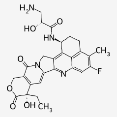 CC[C@@]1(O)C(=O)OCc2c1cc1n(c2=O)Cc2c-1nc1cc(F)c(C)c3c1c2[C@@H](NC(=O)[C@H](O)CN)CC3